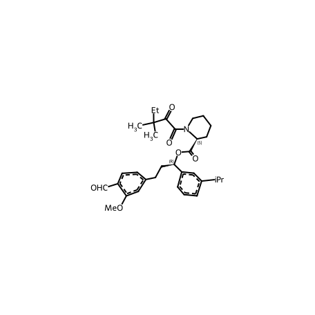 CCC(C)(C)C(=O)C(=O)N1CCCC[C@H]1C(=O)O[C@H](CCc1ccc(C=O)c(OC)c1)c1cccc(C(C)C)c1